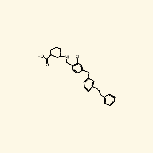 O=C(O)C1CCCC(NCc2ccc(Sc3cccc(OCc4ccccc4)c3)cc2Cl)C1